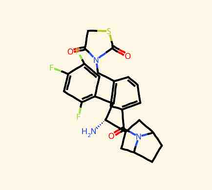 N[C@H](Cc1cc(F)c(F)cc1F)C1CC2CCC(C1)N2C(=O)c1cccc(CN2C(=O)CSC2=O)c1